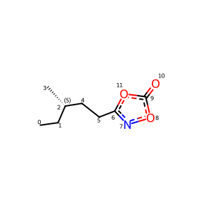 CC[C@H](C)CCc1noc(=O)o1